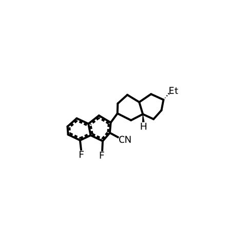 CC[C@@H]1CC[C@@H]2CC(c3cc4cccc(F)c4c(F)c3C#N)CCC2C1